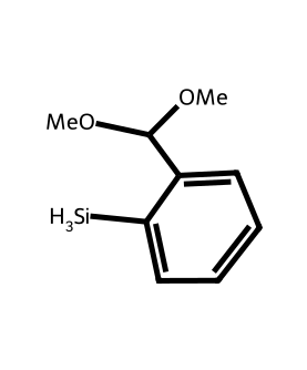 COC(OC)c1ccccc1[SiH3]